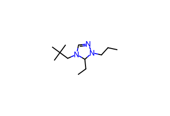 CCCN1N=CN(CC(C)(C)C)C1CC